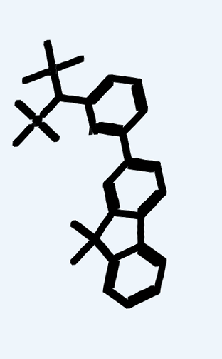 CC1(C)c2ccccc2-c2ccc(-c3cccc(C([Si](C)(C)C)[Si](C)(C)C)n3)cc21